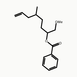 C=CCC(C)CCC(COC)OC(=O)c1ccccc1